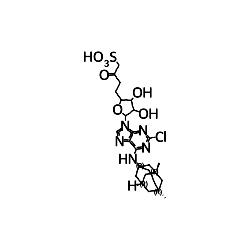 C[C@]12C[C@@H]3C[C@](C)(C1)C[C@@](Nc1nc(Cl)nc4c1ncn4C1OC(CCC(=O)CS(=O)(=O)O)C(O)C1O)(C3)C2